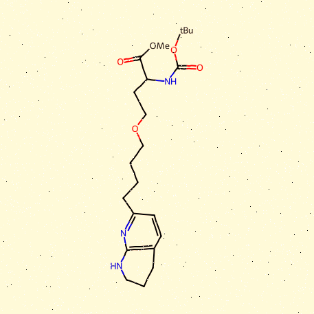 COC(=O)C(CCOCCCCc1ccc2c(n1)NCCC2)NC(=O)OC(C)(C)C